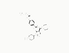 CNC(=S)Nc1ccc(-c2nc(N3CCOCC3)c3cnn(C4CCNCC4)c3n2)cc1